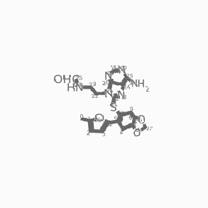 Cc1ccc(-c2cc3c(cc2Sc2nc4c(N)ncnc4n2CCNC=O)OCO3)o1